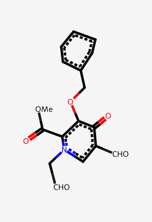 COC(=O)c1c(OCc2ccccc2)c(=O)c(C=O)cn1CC=O